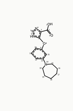 O=C(O)c1nn[nH]c1Oc1cccc(N2CCCCCC2)c1